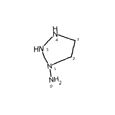 NN1CCNN1